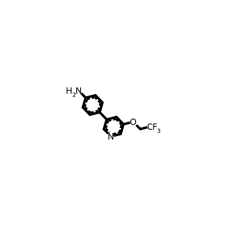 Nc1ccc(-c2cncc(OCC(F)(F)F)c2)cc1